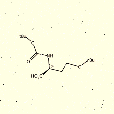 CCCCOCC[C@H](NC(=O)OC(C)(C)C)C(=O)O